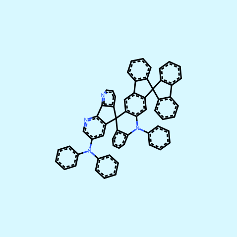 c1ccc(N(c2ccccc2)c2cnc3c(c2)C2(c4ccccc4N(c4ccccc4)c4cc5c(cc42)-c2ccccc2C52c4ccccc4-c4ccccc42)c2cccnc2-3)cc1